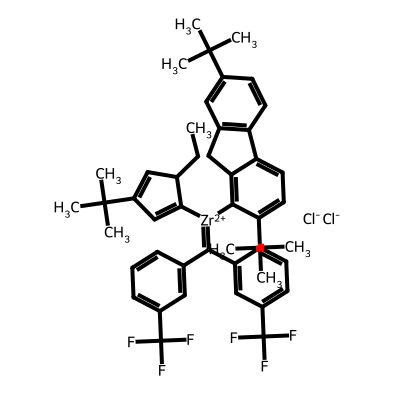 CCC1C=C(C(C)(C)C)C=[C]1[Zr+2](=[C](c1cccc(C(F)(F)F)c1)c1cccc(C(F)(F)F)c1)[c]1c(C(C)(C)C)ccc2c1Cc1cc(C(C)(C)C)ccc1-2.[Cl-].[Cl-]